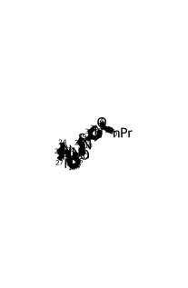 CCCC#CC(=O)N1CCC(c2nc(C(=O)Nc3cccnc3-n3nc(C)cc3C)cs2)CC1